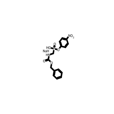 O=C(NCP(=O)(O)Oc1ccc([N+](=O)[O-])cc1)OCc1ccccc1.[NaH]